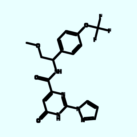 COCC(NC(=O)c1cc(=O)[nH]c(-n2cccn2)n1)c1ccc(OC(F)(F)F)cc1